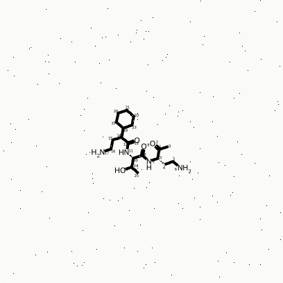 CC(=O)[C@H](CCN)NC(=O)[C@@H](NC(=O)C(CCN)C1CCCCC1)C(C)O